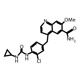 COc1cc2nccc(Cc3ccc(NC(=O)NC4CC4)c(Cl)c3)c2cc1C(N)=O